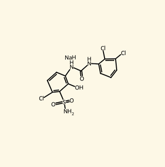 NS(=O)(=O)c1c(Cl)ccc(NC(=O)Nc2cccc(Cl)c2Cl)c1O.[NaH]